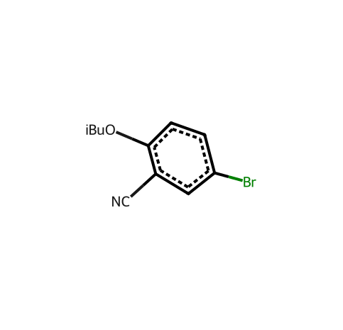 CC(C)COc1ccc(Br)cc1C#N